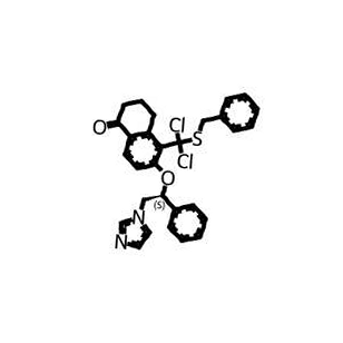 O=C1CCCc2c1ccc(O[C@H](Cn1ccnc1)c1ccccc1)c2C(Cl)(Cl)SCc1ccccc1